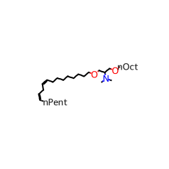 CCCCC/C=C\C/C=C\CCCCCCCCOCC(COCCCCCCCC)N(C)C